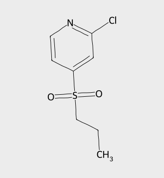 CCCS(=O)(=O)c1ccnc(Cl)c1